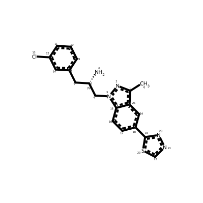 Cc1nn(C[C@@H](N)Cc2cccc(Cl)c2)c2ccc(-c3nncs3)cc12